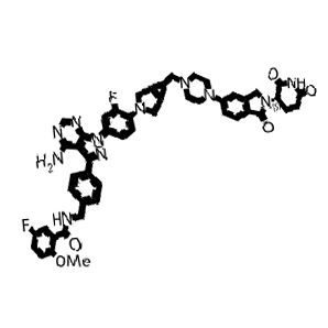 COc1ccc(F)cc1C(=O)NCc1ccc(-c2nn(-c3ccc(N4CC5C(CN6CCN(c7ccc8c(c7)CN([C@H]7CCC(=O)NC7=O)C8=O)CC6)C5C4)c(F)c3)c3ncnc(N)c23)cc1